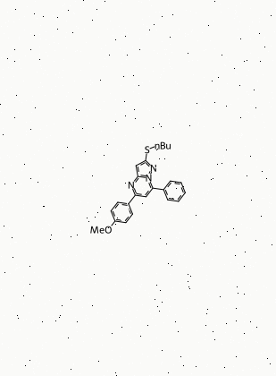 CCCCSc1cc2nc(-c3ccc(OC)cc3)cc(-c3ccccc3)n2n1